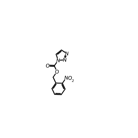 O=C(OCc1ccccc1[N+](=O)[O-])n1ccnn1